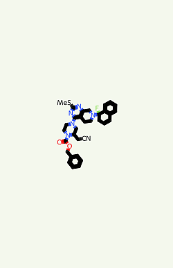 CSc1nc2c(c(N3CCN(C(=O)OCc4ccccc4)C(CC#N)C3)n1)CCN(C1(F)CC=Cc3ccccc31)C2